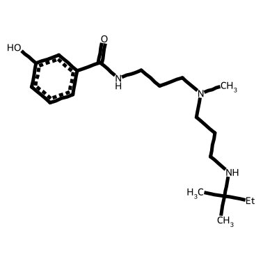 CCC(C)(C)NCCCN(C)CCCNC(=O)c1cccc(O)c1